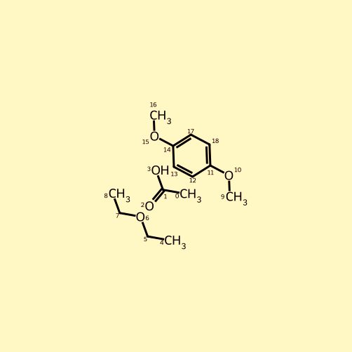 CC(=O)O.CCOCC.COc1ccc(OC)cc1